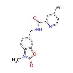 CC(C)c1ccnc(C(=O)NCc2ccc3c(c2)oc(=O)n3C)c1